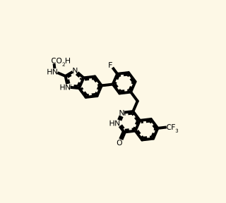 O=C(O)Nc1nc2cc(-c3cc(Cc4n[nH]c(=O)c5ccc(C(F)(F)F)cc45)ccc3F)ccc2[nH]1